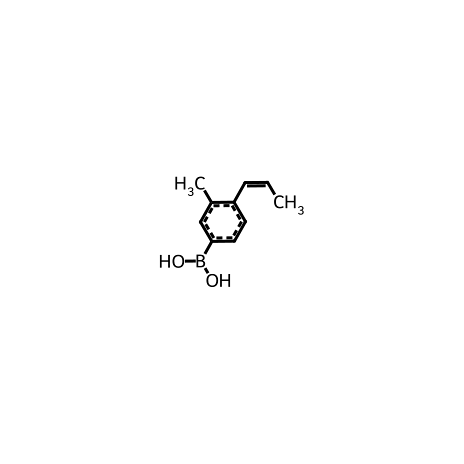 C/C=C\c1ccc(B(O)O)cc1C